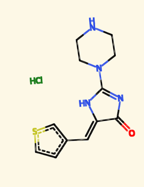 Cl.O=C1N=C(N2CCNCC2)NC1=Cc1ccsc1